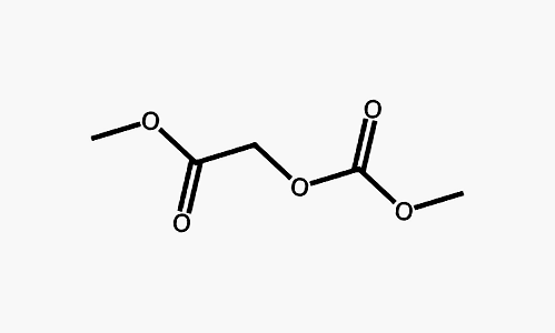 COC(=O)COC(=O)OC